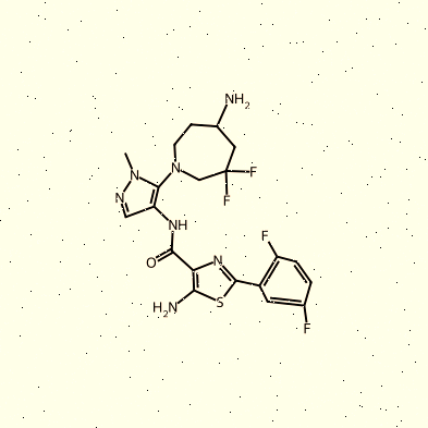 Cn1ncc(NC(=O)c2nc(-c3cc(F)ccc3F)sc2N)c1N1CCC(N)CC(F)(F)C1